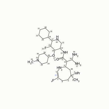 CCCC1(C)CC/C(F)=C\NC(C(C(=O)NC2CNC(C3CCCCC3)C(F)C2OC2CCN(C)CC2)C(N)N)C1